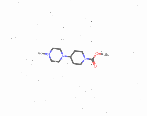 CC(=O)N1CCN(C2CCN(C(=O)OC(C)(C)C)CC2)CC1